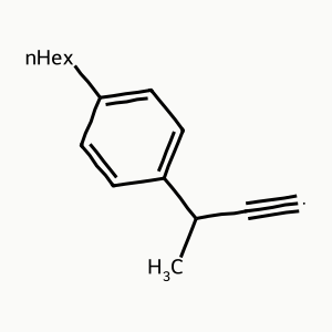 [C]#CC(C)c1ccc(CCCCCC)cc1